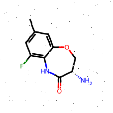 Cc1cc(F)c2c(c1)OC[C@H](N)C(=O)N2